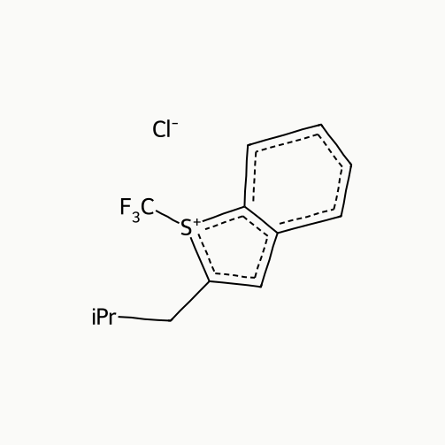 CC(C)Cc1cc2ccccc2[s+]1C(F)(F)F.[Cl-]